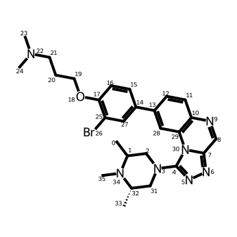 CC1CN(c2nnc3cnc4ccc(-c5ccc(OCCCN(C)C)c(Br)c5)cc4n23)C[C@H](C)N1C